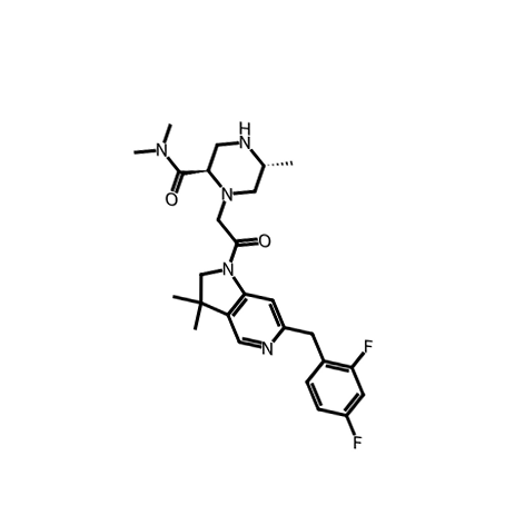 C[C@@H]1CN(CC(=O)N2CC(C)(C)c3cnc(Cc4ccc(F)cc4F)cc32)[C@@H](C(=O)N(C)C)CN1